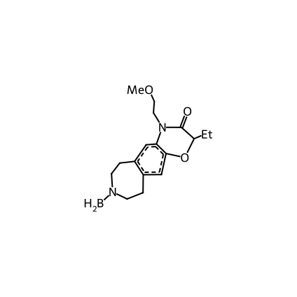 BN1CCc2cc3c(cc2CC1)N(CCOC)C(=O)C(CC)O3